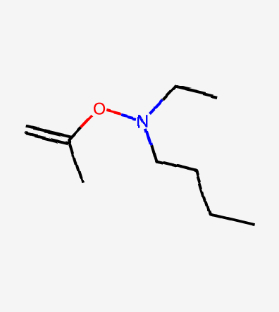 C=C(C)ON(CC)CCCC